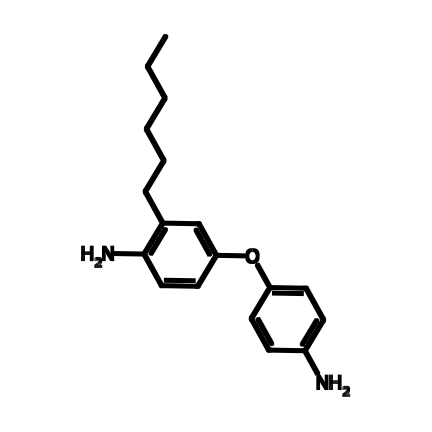 CCCCCCc1cc(Oc2ccc(N)cc2)ccc1N